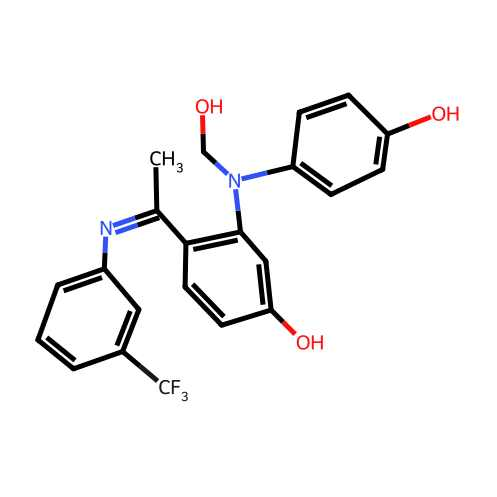 CC(=Nc1cccc(C(F)(F)F)c1)c1ccc(O)cc1N(CO)c1ccc(O)cc1